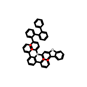 c1ccc(-c2ccccc2-c2ccccc2-c2ccc(N(c3ccc4c(c3)oc3ccccc34)c3c(-c4ccccc4)cccc3-c3ccccc3)cc2)cc1